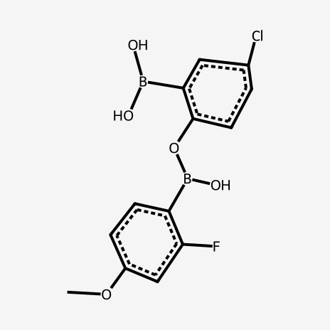 COc1ccc(B(O)Oc2ccc(Cl)cc2B(O)O)c(F)c1